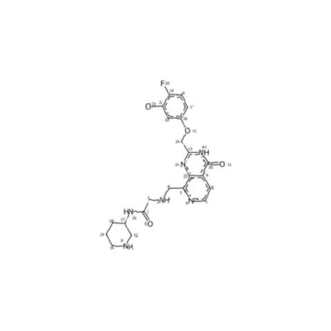 O=C(CNCc1nccc2c(=O)[nH]c(COc3ccc(F)c(Cl)c3)nc12)NC1CCCNC1